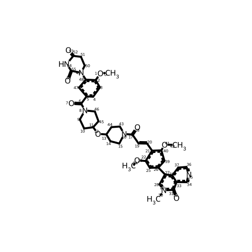 COc1ccc(C(=O)N2CCC(OC3CCN(C(=O)/C=C/c4c(OC)cc(-c5cn(C)c(=O)c6cnccc56)cc4OC)CC3)CC2)cc1N1CCC(=O)NC1=O